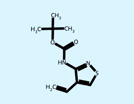 C=Cc1csnc1NC(=O)OC(C)(C)C